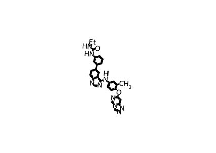 CCNC(=O)Nc1cccc(-c2ccc3ncnc(Nc4ccc(Oc5cc6nncn6cn5)c(C)c4)c3c2)c1